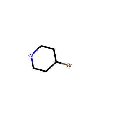 BrC1CC[N]CC1